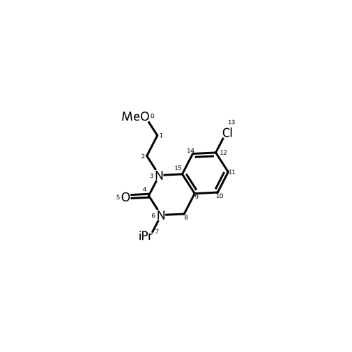 COCCN1C(=O)N(C(C)C)Cc2ccc(Cl)cc21